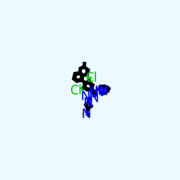 CC1C=Cc2c(cccc2-c2c(Cl)cc3c(N4CC5CC(C4)N5)nc(N4CC(N(C)C)C4)nc3c2Cl)C1